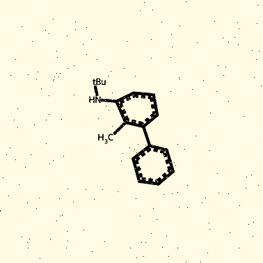 Cc1c(NC(C)(C)C)cccc1-c1ccccc1